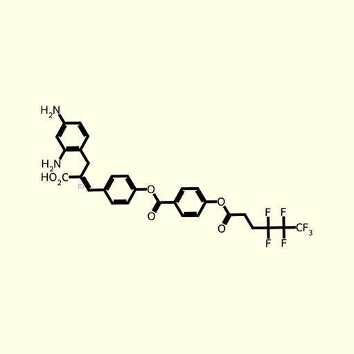 Nc1ccc(C/C(=C\c2ccc(OC(=O)c3ccc(OC(=O)CCC(F)(F)C(F)(F)C(F)(F)F)cc3)cc2)C(=O)O)c(N)c1